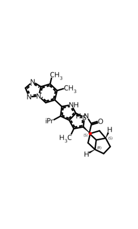 Cc1c(-c2[nH]c3sc([C@@H]4C[C@H]5CC[C@@H](C4)C5CC(N)=O)c(C)c3c2C(C)C)cn2ncnc2c1C